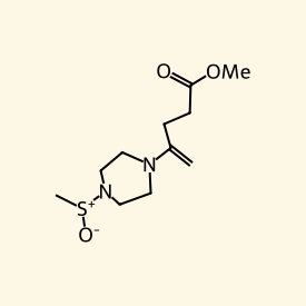 C=C(CCC(=O)OC)N1CCN([S+](C)[O-])CC1